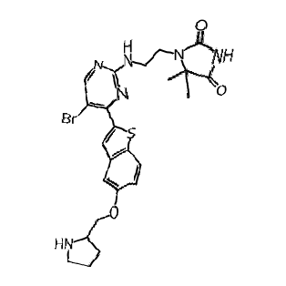 CC1(C)C(=O)NC(=O)N1CCNc1ncc(Br)c(-c2cc3cc(OCC4CCCN4)ccc3s2)n1